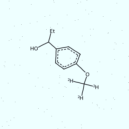 [2H]C([2H])([2H])Oc1ccc(C(O)CC)cc1